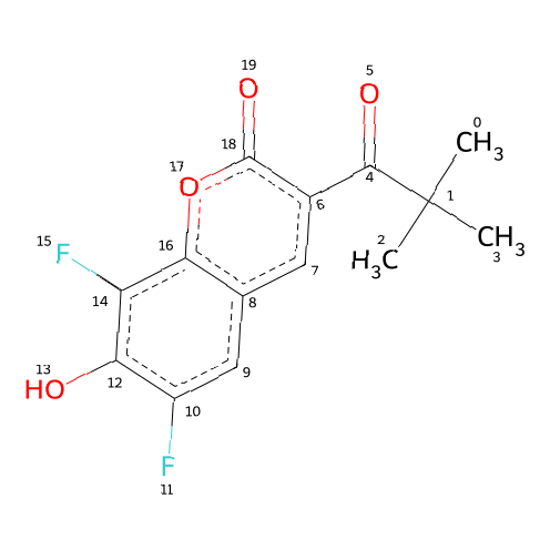 CC(C)(C)C(=O)c1cc2cc(F)c(O)c(F)c2oc1=O